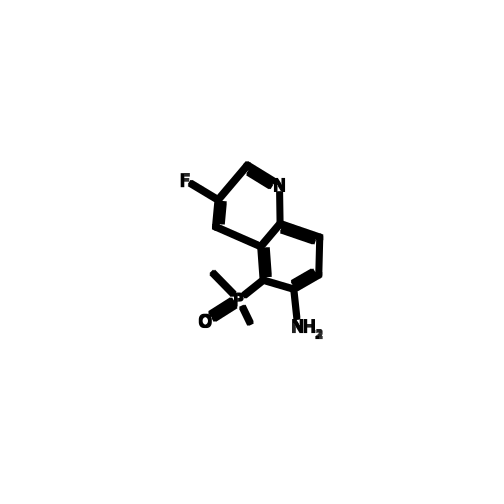 CP(C)(=O)c1c(N)ccc2ncc(F)cc12